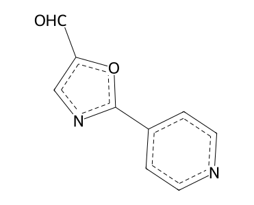 O=Cc1cnc(-c2ccncc2)o1